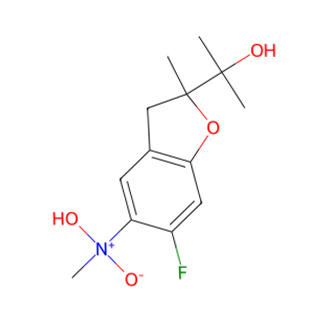 CC(C)(O)C1(C)Cc2cc([N+](C)([O-])O)c(F)cc2O1